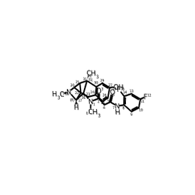 CN(C(=O)CC(=O)Nc1ccc(F)cc1F)[C@H]1[C@@H]2N(C)C3C4C32Cc2ccc(O)cc2[C@]41C